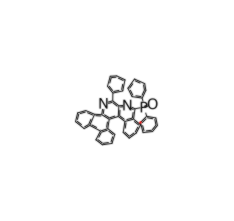 O=P(c1ccccc1)(c1ccccc1)c1nc2c(-c3ccccc3)nc3c4ccccc4c4ccccc4c3c2c2ccccc12